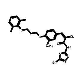 CCc1nnc(NC(=O)C(C#N)=Cc2ccc(OCCCOc3c(C)cccc3C)c(OC)c2)s1